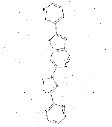 c1cnc(-c2ccn(-c3ccc4nc(-c5cccnc5)sc4c3)n2)nc1